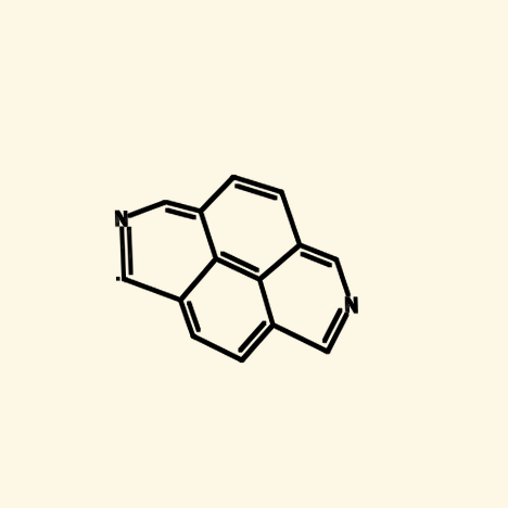 [c]1ncc2ccc3cncc4ccc1c2c43